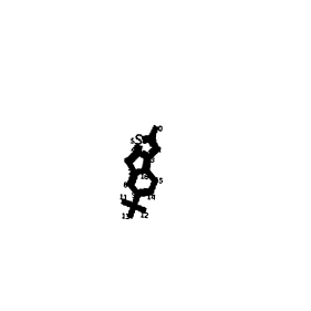 Cc1cc2c(s1)=CC1=CC(C(C)(C)C)=CCC=21